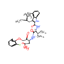 Cc1cccc2[nH]c(C(=O)N[C@H](C(=O)NC(CC(=O)O)C(=O)COc3ccccc3F)C(C)C)c(CC(C)C)c12